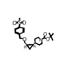 CC(C)(C)OC(=O)N1CCC([C@H]2C[C@H]2COCc2ccc(S(C)(=O)=O)cc2)CC1